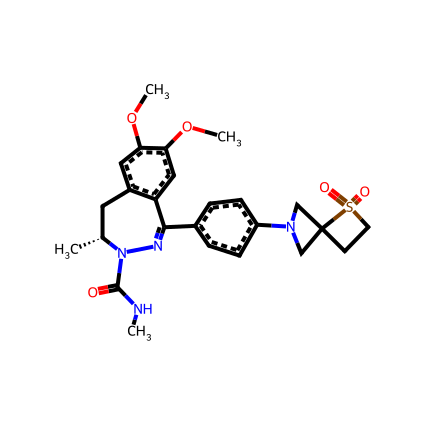 CNC(=O)N1N=C(c2ccc(N3CC4(CCS4(=O)=O)C3)cc2)c2cc(OC)c(OC)cc2C[C@H]1C